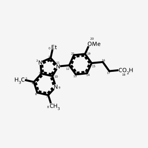 CCc1nc2c(C)cc(C)nc2n1-c1ccc(CCC(=O)O)c(OC)c1